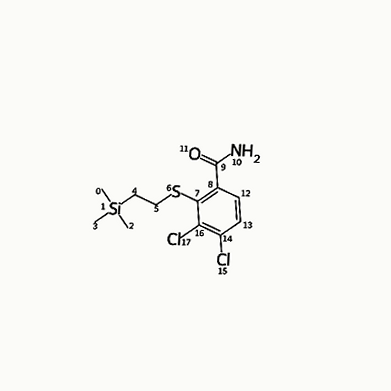 C[Si](C)(C)CCSc1c(C(N)=O)ccc(Cl)c1Cl